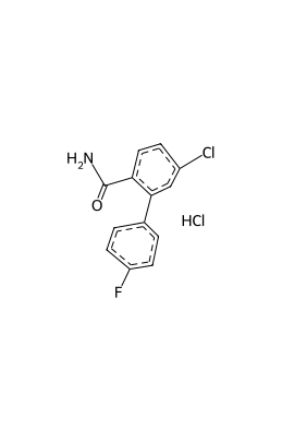 Cl.NC(=O)c1ccc(Cl)cc1-c1ccc(F)cc1